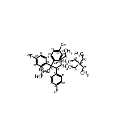 CCCCC(c1ccc(F)cc1)C(OB([O-])O)(c1ccc(F)cc1)c1ccc(F)cc1.CC[N+](CC)(CC)CC